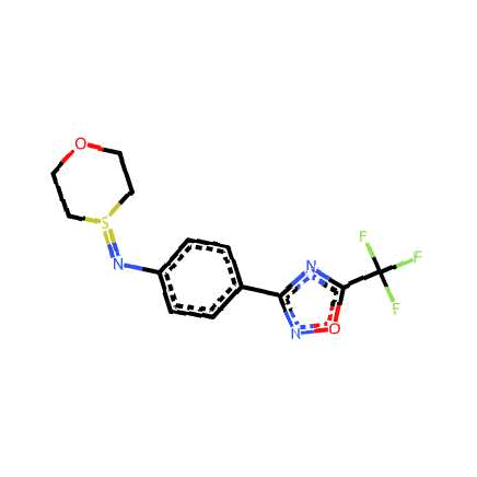 FC(F)(F)c1nc(-c2ccc(N=S3CCOCC3)cc2)no1